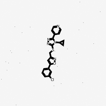 Clc1cccc(-c2cc(CSc3nnc(-c4ccncc4)n3C3CC3)no2)c1